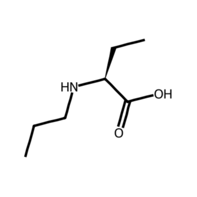 CCCN[C@@H](CC)C(=O)O